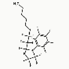 CCCCCCC(F)(F)C(F)(F)C(F)(F)P(c1c(F)c(F)c(F)c(F)c1F)C(F)(F)C(F)(F)F